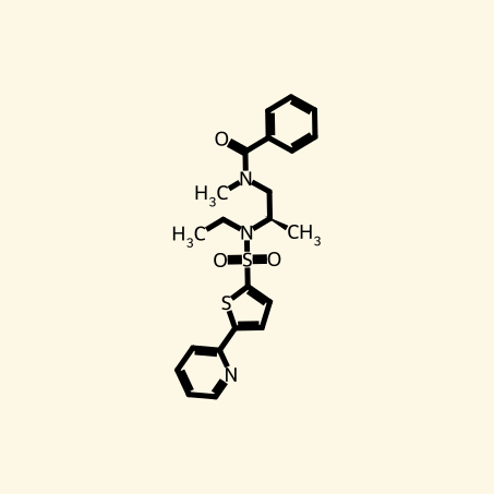 CCN([C@H](C)CN(C)C(=O)c1ccccc1)S(=O)(=O)c1ccc(-c2ccccn2)s1